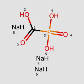 O=C(O)P(=O)(O)O.[NaH].[NaH].[NaH]